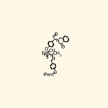 CCCC(C)Oc1ccc(/C=N/N(C)[PH](=S)C(C)(CC)Oc2ccc(C(P=O)N(CP=O)Cc3ccccc3)cc2)cc1